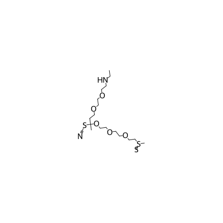 CCNCCOCCOCCC(C)(OCCOCCOCCS(C)=S)SC#N